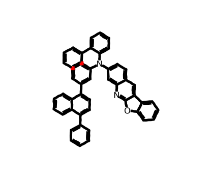 c1ccc(-c2ccccc2N(c2cccc(-c3ccc(-c4ccccc4)c4ccccc34)c2)c2ccc3cc4c(nc3c2)oc2ccccc24)cc1